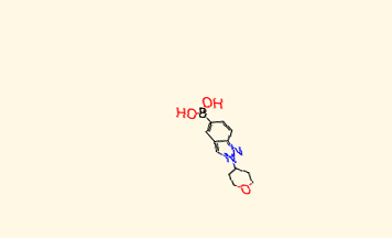 OB(O)c1ccc2nn(C3CCOCC3)cc2c1